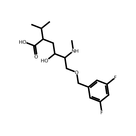 CNC(COCc1cc(F)cc(F)c1)C(O)CC(C(=O)O)C(C)C